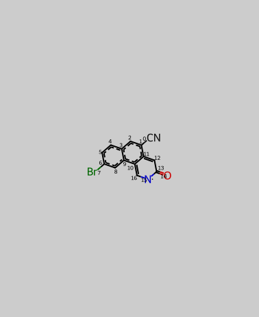 N#Cc1cc2ccc(Br)cc2c2c1=CC(=O)[N]C=2